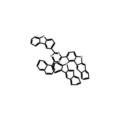 c1ccc2cc3c(cc2c1)oc1ccc(-c2nc(-c4ccc5sc6ccccc6c5c4)nc(-c4cccc5ccccc45)n2)c(-n2c4ccccc4c4cc5ccccc5cc42)c13